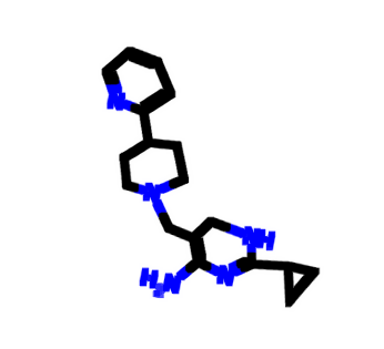 NC1=C(CN2CCC(c3ccccn3)CC2)CNC(C2CC2)=N1